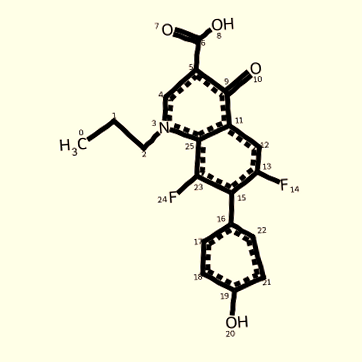 CCCn1cc(C(=O)O)c(=O)c2cc(F)c(-c3ccc(O)cc3)c(F)c21